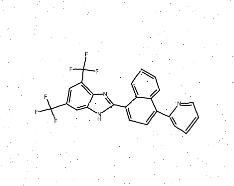 FC(F)(F)c1cc(C(F)(F)F)c2nc(-c3ccc(-c4ccccn4)c4ccccc34)[nH]c2c1